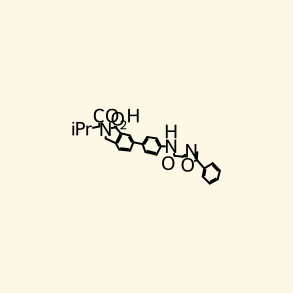 CC(C)C(C(=O)O)N1Cc2ccc(-c3ccc(NC(=O)c4ncc(-c5ccccc5)o4)cc3)cc2C1=O